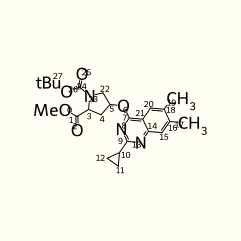 COC(=O)C1CC(Oc2nc(C3CC3)nc3cc(C)c(C)cc23)CN1C(=O)OC(C)(C)C